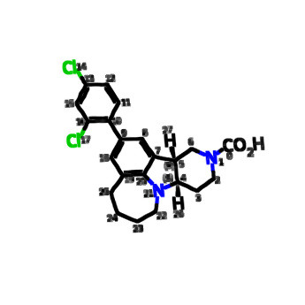 O=C(O)N1CC[C@H]2[C@@H](C1)c1cc(-c3ccc(Cl)cc3Cl)cc3c1N2CCCC3